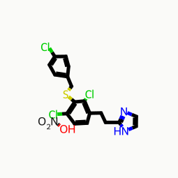 Clc1ccc(CSc2c(Cl)ccc(CCc3ncc[nH]3)c2Cl)cc1.O=[N+]([O-])O